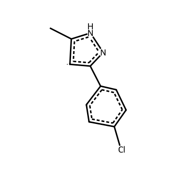 Cc1[c]c(-c2ccc(Cl)cc2)n[nH]1